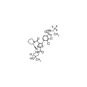 C[C@H](NS(=O)(=O)c1ccc(-c2sc(C(=O)NCC(C)(C)O)nc2C(=O)N2CCCCC2C#N)c(Cl)c1Cl)C(F)(F)F